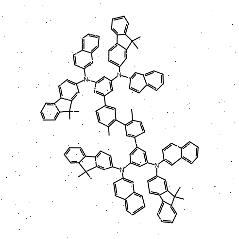 Cc1ccc(-c2cc(N(c3ccc4c(c3)C(C)(C)c3ccccc3-4)c3ccc4ccccc4c3)cc(N(c3ccc4c(c3)C(C)(C)c3ccccc3-4)c3ccc4ccccc4c3)c2)cc1-c1cc(-c2cc(N(c3ccc4c(c3)C(C)(C)c3ccccc3-4)c3ccc4ccccc4c3)cc(N(c3ccc4c(c3)C(C)(C)c3ccccc3-4)c3ccc4ccccc4c3)c2)ccc1C